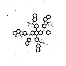 CC1(C)c2cc(-c3c4ccc(N(c5ccc6c(c5)C(C)(C)c5c-6ccc6ccccc56)c5ccc6ccccc6c5)cc4c(-c4ccc5c(c4)C(C)(C)c4cc6ccccc6cc4-5)c4ccc(N(c5ccccc5)c5ccc6c(c5)C(C)(C)c5c-6ccc6ccccc56)cc34)ccc2-c2cc3ccccc3cc21